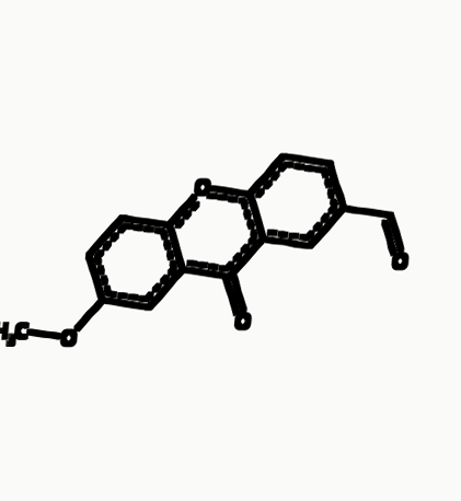 COc1ccc2oc3ccc(C=O)cc3c(=O)c2c1